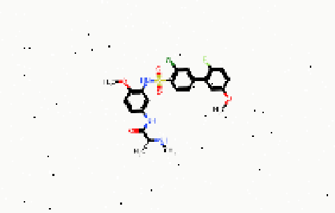 CN[C@@H](C)C(=O)Nc1ccc(OC)c(NS(=O)(=O)c2ccc(-c3cc(OC)ccc3F)cc2Cl)c1